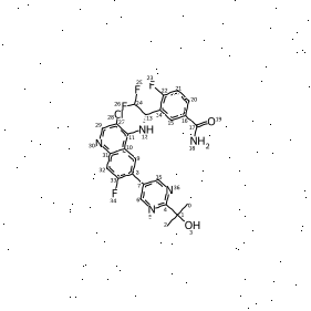 CC(C)(O)c1ncc(-c2cc3c(N[C@@H](c4cc(C(N)=O)ccc4F)C(F)F)c(Cl)cnc3cc2F)cn1